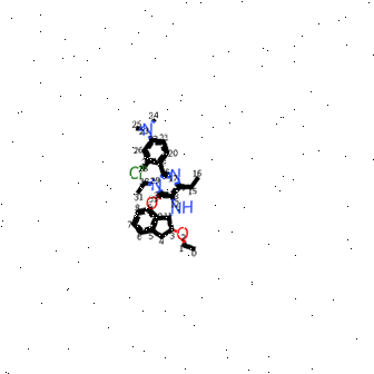 CCO[C@H]1Cc2ccccc2[C@H]1Nc1c(CC)nc(-c2ccc(N(C)C)cc2Cl)n(CC)c1=O